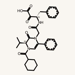 CC(C)[C@H]1C(=O)N(CC(=O)N[C@@H](Cc2ccccc2)C(=O)C(=O)O)C(c2ccccc2)=CN1C(=O)C1CCCCC1